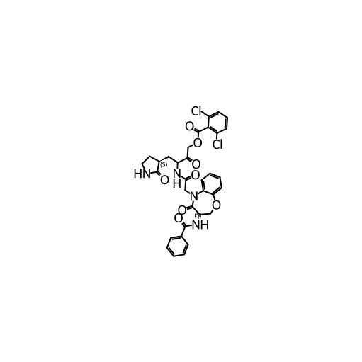 O=C(CN1C(=O)[C@@H](NC(=O)c2ccccc2)COc2ccccc21)NC(C[C@@H]1CCNC1=O)C(=O)COC(=O)c1c(Cl)cccc1Cl